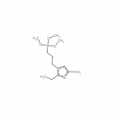 CCc1nc(C)cn1CCC[Si](OC)(OC)OC